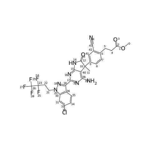 COC(=O)CCc1ccc(C2(C)C(=O)Nc3nc(-c4nn(CCC(F)(F)C(F)(F)F)c5cc(Cl)ccc45)nc(N)c32)cc1C#N